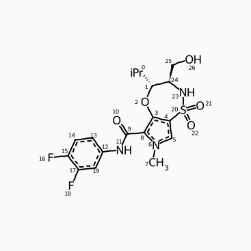 CC(C)[C@H]1Oc2c(cn(C)c2C(=O)Nc2ccc(F)c(F)c2)S(=O)(=O)N[C@@H]1CO